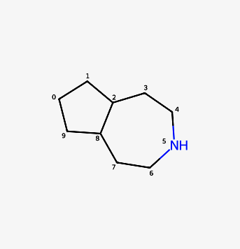 C1CC2CCNCCC2C1